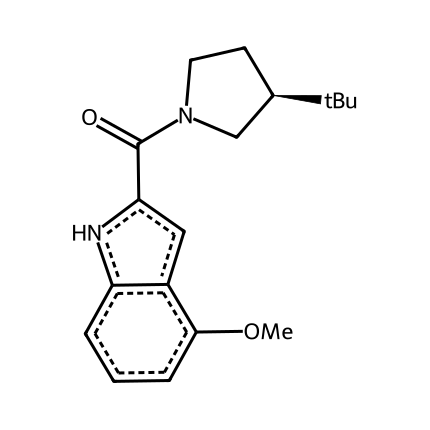 COc1cccc2[nH]c(C(=O)N3CC[C@@H](C(C)(C)C)C3)cc12